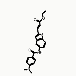 CCOC(=O)/C=C/c1cc2cc(NC(=O)c3ccc(N(C)C)cc3)ccc2s1